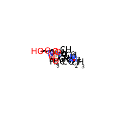 Cc1ccc(C(c2ccn3c(C(F)(F)F)nnc3c2C)C(C)(C)C(=O)O)cc1CN1CCCOCCOc2nc(OCCCO)ccc2S1(=O)=O